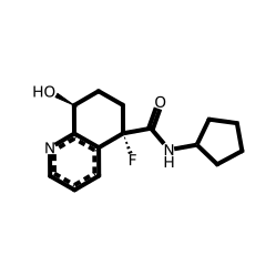 O=C(NC1CCCC1)[C@]1(F)CC[C@H](O)c2ncccc21